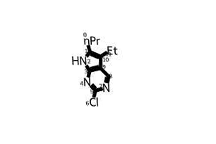 CCCc1[nH]c2nc(Cl)ncc2c1CC